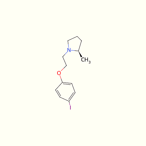 C[C@@H]1CCCN1CCOc1ccc(I)cc1